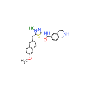 COc1ccc2cc(Cc3nnc(NC(=O)c4ccc5c(c4)CCNC5)s3)ccc2c1.Cl